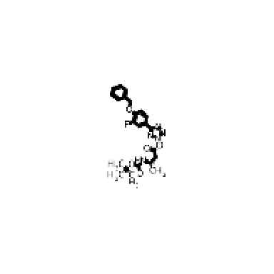 C[C@@H](CC(=O)On1nnc(-c2ccc(OCc3ccccc3)c(F)c2)n1)NC(=O)OC(C)(C)C